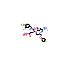 N[C@@H]1C[C@H]2C(=O)N([C@H](CCC(=O)NO)C(=O)NCc3ccc(Cl)c(Cl)c3)CCC(COc3ccc(F)cc3)N2C1